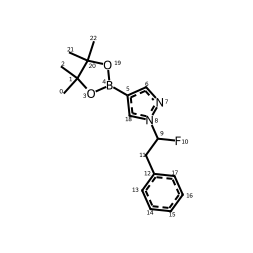 CC1(C)OB(c2cnn(C(F)Cc3ccccc3)c2)OC1(C)C